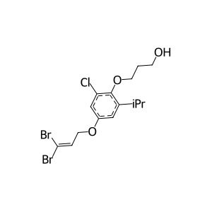 CC(C)c1cc(OCC=C(Br)Br)cc(Cl)c1OCCCO